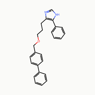 c1ccc(-c2ccc(COCCCc3nc[nH]c3-c3ccccc3)cc2)cc1